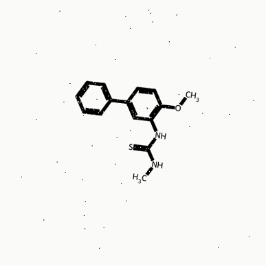 CNC(=S)Nc1cc(-c2ccccc2)ccc1OC